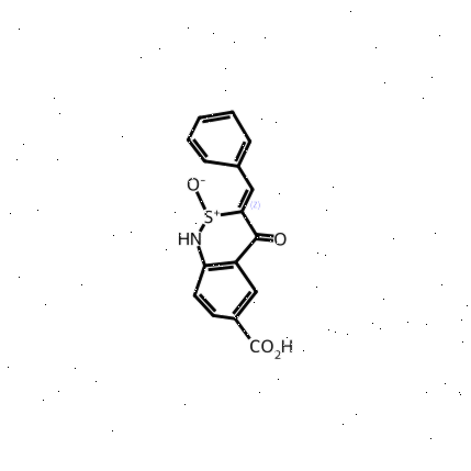 O=C(O)c1ccc2c(c1)C(=O)/C(=C/c1ccccc1)[S+]([O-])N2